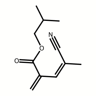 C=C(C=C(C)C#N)C(=O)OCC(C)C